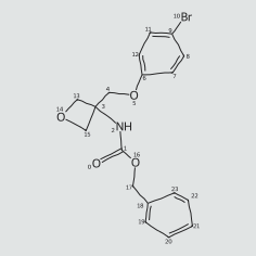 O=C(NC1(COc2ccc(Br)cc2)COC1)OCc1ccccc1